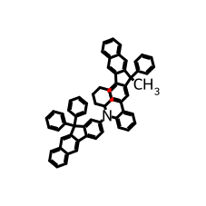 CC1(c2ccccc2)c2cc(-c3ccccc3N(c3ccc4c(c3)C(c3ccccc3)(c3ccccc3)c3cc5ccccc5cc3-4)C3CCCCC3)ccc2-c2cc3ccccc3cc21